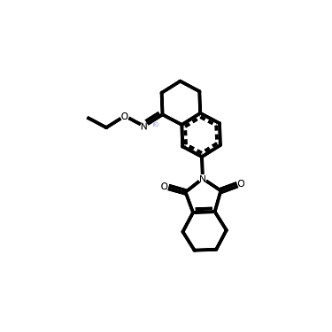 CCO/N=C1\CCCc2ccc(N3C(=O)C4=C(CCCC4)C3=O)cc21